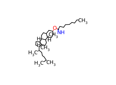 CCCCCCCCC(=N)O[C@H]1CC[C@@]2(C)C(CC[C@H]3[C@@H]4CC[C@H]([C@H](C)CCCC(C)C)[C@@]4(C)CC[C@@H]32)C1